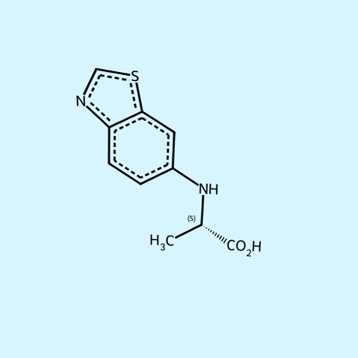 C[C@H](Nc1ccc2ncsc2c1)C(=O)O